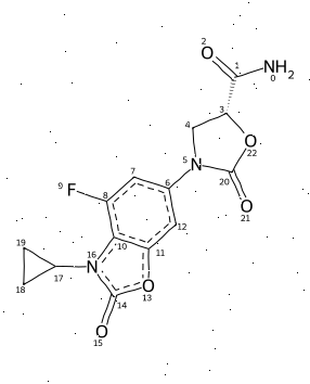 NC(=O)[C@H]1CN(c2cc(F)c3c(c2)oc(=O)n3C2CC2)C(=O)O1